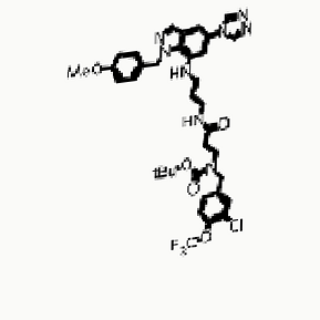 COc1ccc(Cn2ncc3cc(-n4cnnc4)cc(NCCCNC(=O)CCN(Cc4ccc(OC(F)(F)F)c(Cl)c4)C(=O)OC(C)(C)C)c32)cc1